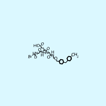 Cc1ccc(Cc2ccc(COCNC(=O)CNC(=O)[C@H](CCC(=O)O)NC(=O)CNC(=O)CBr)cc2)cc1